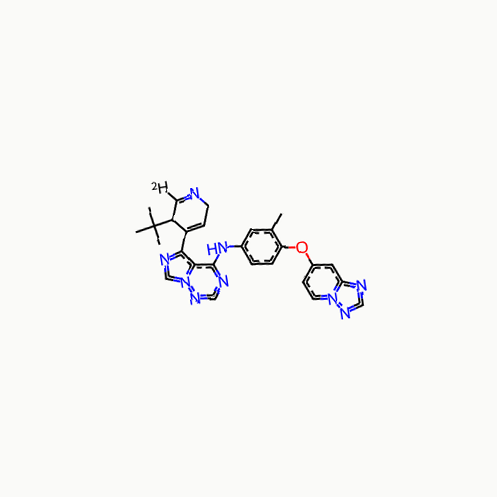 [2H]C1=NCC=C(c2ncn3ncnc(Nc4ccc(Oc5ccn6ncnc6c5)c(C)c4)c23)C1C(C)(C)C